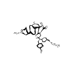 Cn1cc(-c2ccc3c(c2)[C@H](F)C[C@]32NC(=O)N(CC(=O)N(Cc3ccc(F)cc3)C3CCC(=CC(=O)O)CC3)C2=O)cn1